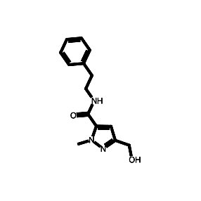 Cn1nc(CO)cc1C(=O)NCCc1ccccc1